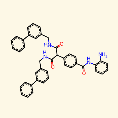 Nc1ccccc1NC(=O)c1ccc(C(C(=O)NCc2cccc(-c3ccccc3)c2)C(=O)NCc2cccc(-c3ccccc3)c2)cc1